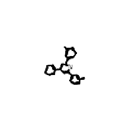 Cc1cccc(-c2cc(-c3ccccc3)cc(-c3cccc(C)c3)n2)c1